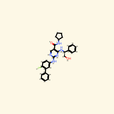 O=C(NC1CCCC1)c1cnc(Nc2ccc(F)c(-c3ccccc3)c2)nc1N[C@H](CO)c1ccccc1